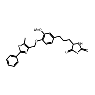 COc1cc(CCCC2NC(=O)SC2=O)ccc1OCc1nc(-c2ccccc2)oc1C